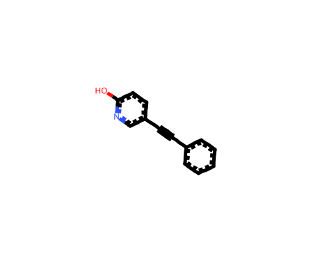 Oc1ccc(C#Cc2ccccc2)cn1